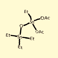 C[CH2][Sn]([CH2]C)([CH2]C)[O][Sn]([CH2]C)([O]C(C)=O)[O]C(C)=O